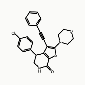 O=C1NCC(c2ccc(Cl)cc2)c2c1sc(N1CCOCC1)c2C#Cc1ccccc1